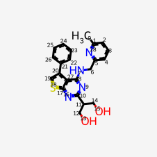 Cc1cccc(CNc2nc(C(CO)CO)nc3scc(-c4ccccc4)c23)n1